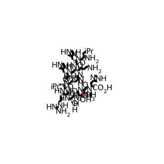 CC(C)C[C@H](NC(=O)[C@H](Cc1c[nH]cn1)NC(=O)[C@H](Cc1c[nH]cn1)NC(=O)[C@H](CCCCN)NC(=O)[C@H](Cc1c[nH]cn1)NC(=O)[C@@H](N)CC(C)C)C(=O)N[C@@H](CCCNC(=N)N)C(=O)N[C@@H](CO)C(=O)N[C@H](C(=O)N[C@H](C(=O)N[C@@H](Cc1c[nH]cn1)C(=O)O)[C@@H](C)O)[C@@H](C)O